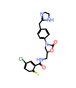 O=C(NCC1CN(c2ccc(CC3=NCCN3)cc2)C(=O)O1)C1=CC(Cl)=CCC1=S